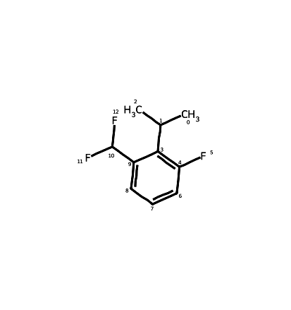 CC(C)c1c(F)cccc1C(F)F